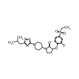 CCS(=O)(=O)c1ccc(OC2CCN(C3CCN(c4nc(CC(C)C)ns4)CC3)C2=O)c(F)c1